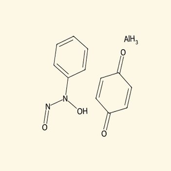 O=C1C=CC(=O)C=C1.O=NN(O)c1ccccc1.[AlH3]